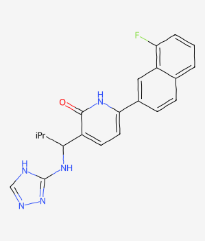 CC(C)C(Nc1nnc[nH]1)c1ccc(-c2ccc3cccc(F)c3c2)[nH]c1=O